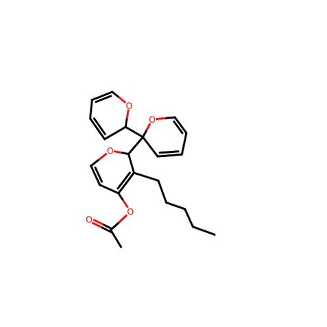 CCCCCC1=C(OC(C)=O)C=COC1C1(C2C=CC=CO2)C=CC=CO1